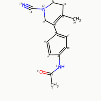 CC(=O)Nc1ccc(C2=C(C)CCN(C#N)C2)cc1